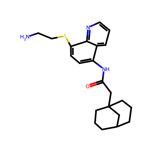 NCCSc1ccc(NC(=O)CC23CCCC(CCC2)C3)c2cccnc12